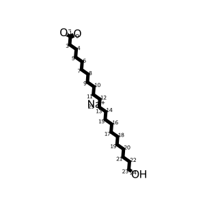 O=C([O-])CCCCCCCCCCCCCCCCCCCCCO.[Na+]